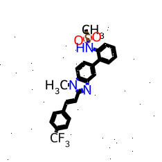 Cn1c(/C=C/c2ccc(C(F)(F)F)cc2)nc2cc(-c3ccccc3NS(C)(=O)=O)ccc21